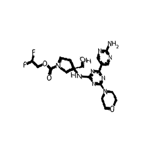 Nc1ncc(-c2nc(N[C@@]3(CO)CCN(C(=O)OCC(F)F)C3)nc(N3CCOCC3)n2)cn1